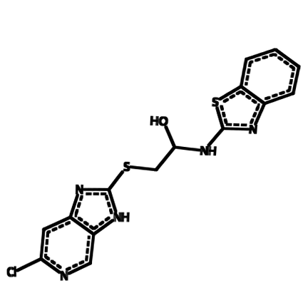 OC(CSc1nc2cc(Cl)ncc2[nH]1)Nc1nc2ccccc2s1